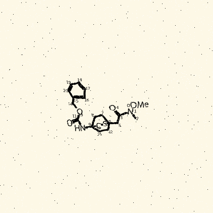 CON(C)C(=O)CC12CCC(NC(=O)OCc3ccccc3)(CC1)CS2